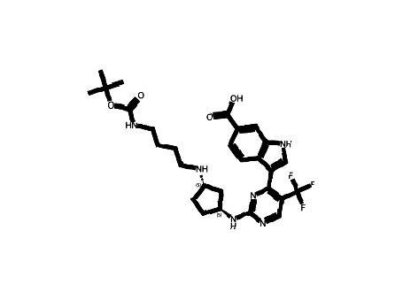 CC(C)(C)OC(=O)NCCCCN[C@H]1CC[C@H](Nc2ncc(C(F)(F)F)c(-c3c[nH]c4cc(C(=O)O)ccc34)n2)C1